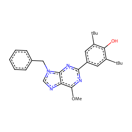 COc1nc(-c2cc(C(C)(C)C)c(O)c(C(C)(C)C)c2)nc2c1ncn2Cc1ccccc1